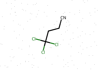 N#CCCC(Cl)(Cl)Cl